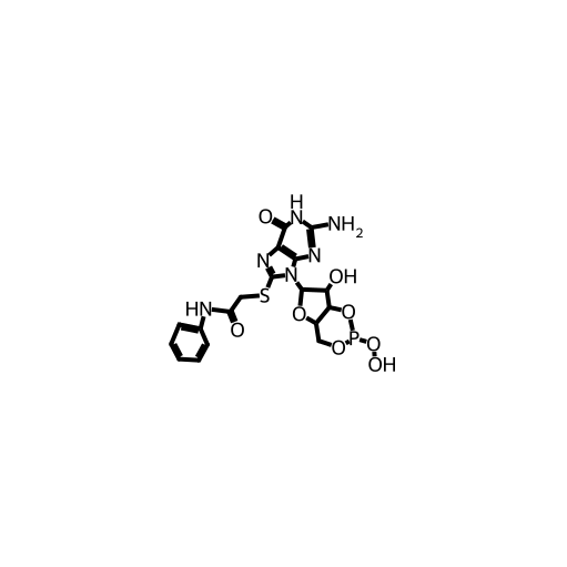 Nc1nc2c(nc(SCC(=O)Nc3ccccc3)n2C2OC3COP(OO)OC3C2O)c(=O)[nH]1